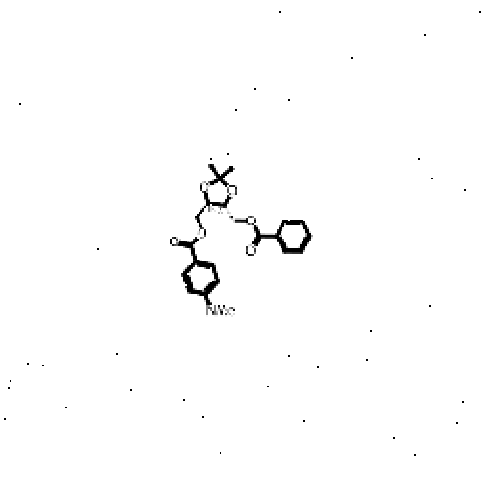 CNc1ccc(C(=O)OC[C@H]2OC(C)(C)O[C@@H]2COC(=O)c2ccccc2)cc1